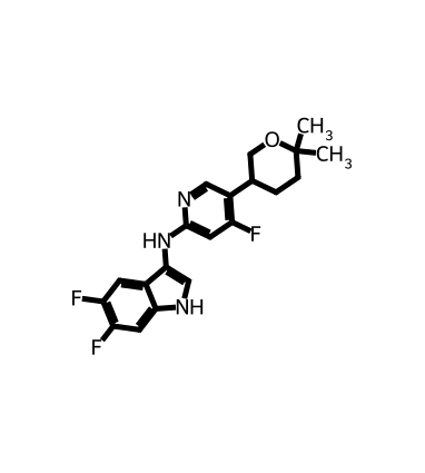 CC1(C)CCC(c2cnc(Nc3c[nH]c4cc(F)c(F)cc34)cc2F)CO1